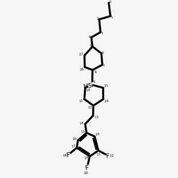 CCCCCC1CCC([SiH]2CCC(CCc3cc(F)c(F)c(F)c3)CC2)CC1